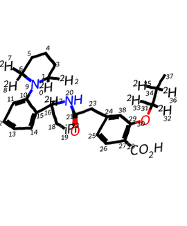 [2H]C1([2H])CCCC([2H])([2H])N1c1ccccc1[C@]([2H])(CC(C)C)NC(=O)Cc1ccc(C(=O)O)c(OC([2H])([2H])C([2H])([2H])C)c1